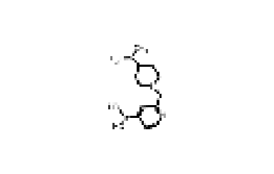 CN(C)C1CCN(Cc2cc(B(O)O)ccn2)CC1